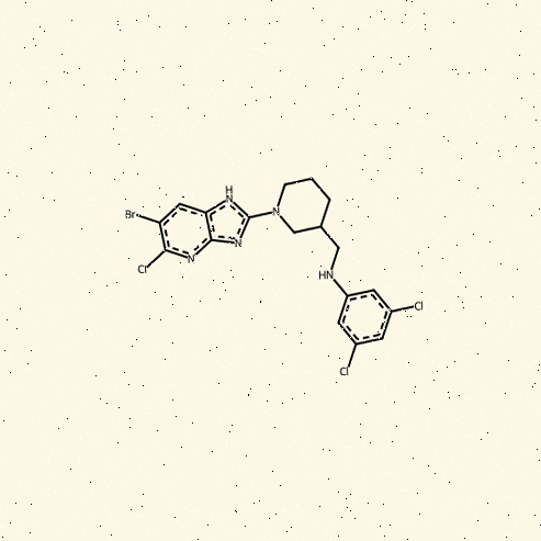 Clc1cc(Cl)cc(NCC2CCCN(c3nc4nc(Cl)c(Br)cc4[nH]3)C2)c1